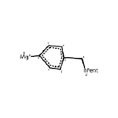 CCCCCCc1cc[c]([Mg+])cc1